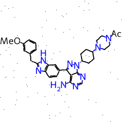 COc1cccc(Cc2nc3ccc(-c4nn([C@H]5CC[C@H](N6CCN(C(C)=O)CC6)CC5)c5ncnc(N)c45)cc3[nH]2)c1